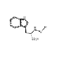 CCON[C@@H](Cc1c[nH]c2ccccc12)C(=O)O